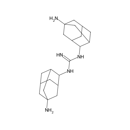 N=C(NC1C2CC3CC1CC(N)(C3)C2)NC1C2CC3CC1CC(N)(C3)C2